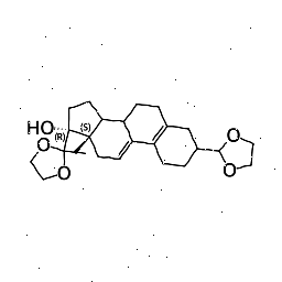 CC1([C@@]2(O)CCC3C4CCC5=C(CCC(C6OCCO6)C5)C4=CC[C@@]32C)OCCO1